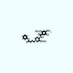 COc1cc(N)c(Cl)cc1C(=O)NC1CCN(CCCC(=O)Oc2ccccc2)CC1OC